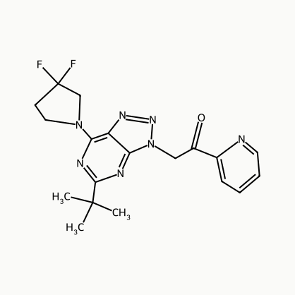 CC(C)(C)c1nc(N2CCC(F)(F)C2)c2nnn(CC(=O)c3ccccn3)c2n1